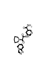 NC(=O)c1cncc(NC(=O)C(=O)N2CCCC[C@H]2c2ccc3nncn3c2)c1